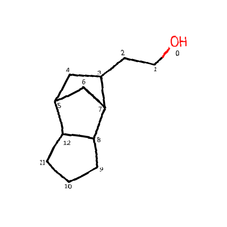 OCCC1CC2CC1C1CCCC21